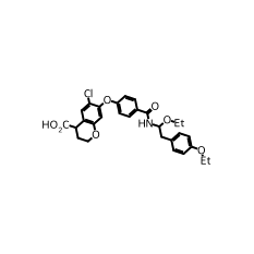 CCOc1ccc(CC(NC(=O)c2ccc(Oc3cc4c(cc3Cl)C(C(=O)O)CCO4)cc2)OCC)cc1